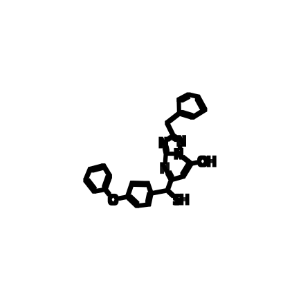 Oc1cc(C(S)c2ccc(Oc3ccccc3)cc2)nc2nc(Cc3ccccc3)nn12